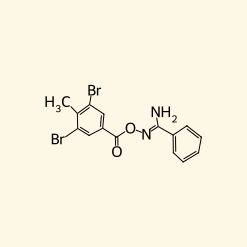 Cc1c(Br)cc(C(=O)O/N=C(\N)c2ccccc2)cc1Br